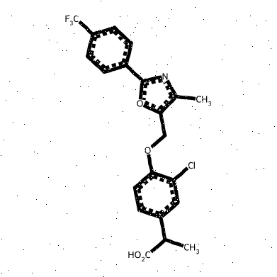 Cc1nc(-c2ccc(C(F)(F)F)cc2)oc1COc1ccc(C(C)C(=O)O)cc1Cl